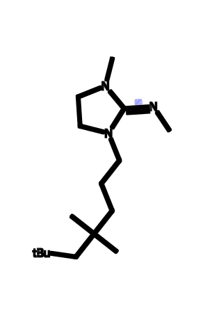 C/N=C1/N(C)CCN1CCCC(C)(C)CC(C)(C)C